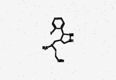 CNCCN(C)CC1CNNC1c1ccccc1F